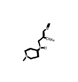 C=N/C=C(/CN(CC)C1CCN(C)CC1)OC